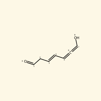 O=CCC=CC=C=CO